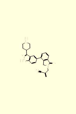 C=C(C#N)CN1Cc2c(cccc2-c2ccc3[nH]nc(C4CCNCC4)c3c2)C1=O